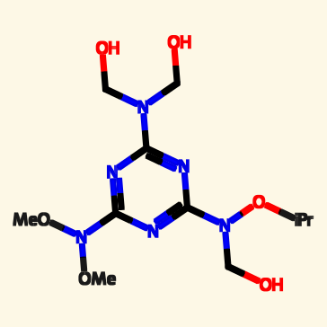 CON(OC)c1nc(N(CO)CO)nc(N(CO)OC(C)C)n1